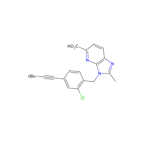 CCCCC#Cc1ccc(Cn2c(C)nc3ccc(C(=O)O)nc32)c(Cl)c1